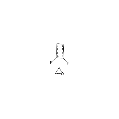 C1CO1.Fc1c2ccc-2c1F